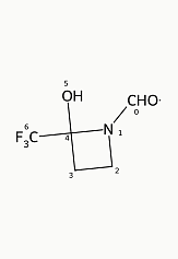 O=[C]N1CCC1(O)C(F)(F)F